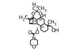 C=C1C=C2C[C@@]34C2[C@]2(COC(=O)N5CCOCC5)CCC[C@@](C)(CO)C2C[C@H]3OC(C)(C)O[C@@H]14